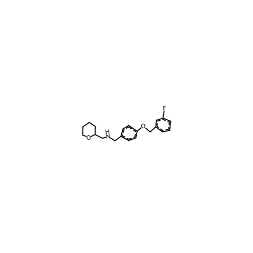 Fc1cccc(COc2ccc(CNCC3CCCCO3)cc2)c1